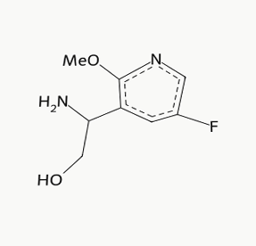 COc1ncc(F)cc1C(N)CO